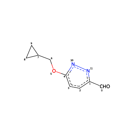 O=Cc1ccc(OCC2CC2)nn1